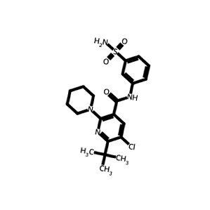 CC(C)(C)c1nc(N2CCCCC2)c(C(=O)Nc2cccc(S(N)(=O)=O)c2)cc1Cl